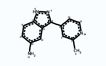 Cc1cc(-c2n[nH]c3ccc(N)cc23)ccn1